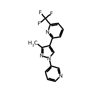 Cc1nn(-c2cccnc2)cc1-c1cccc(C(F)(F)F)n1